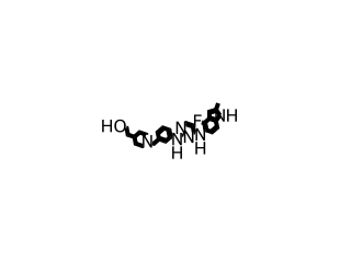 Cc1cc2c(F)c(Nc3ccnc(Nc4cccc(CN5CCC(CCO)CC5)c4)n3)ccc2[nH]1